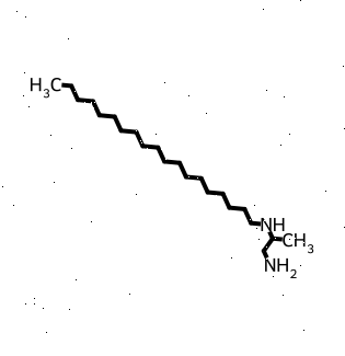 CCCCCCCCCCCCCCCCCCCNC(C)CN